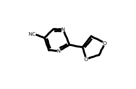 N#Cc1cnc(C2=COCO2)nc1